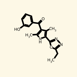 CCc1nnc(-c2[nH]c(C)c(C(=O)c3cccc(O)c3)c2C)o1